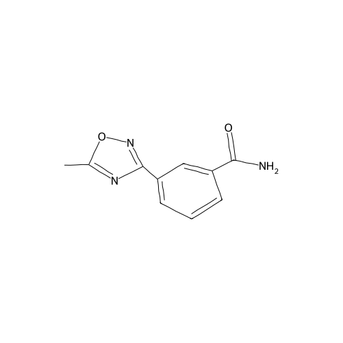 Cc1nc(-c2cccc(C(N)=O)c2)no1